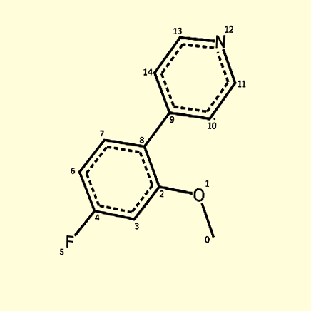 COc1cc(F)ccc1-c1[c]cncc1